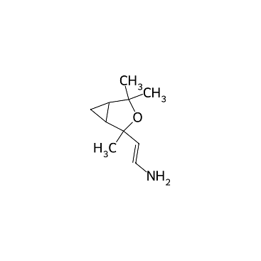 CC1(C)OC(C)(/C=C/N)C2CC21